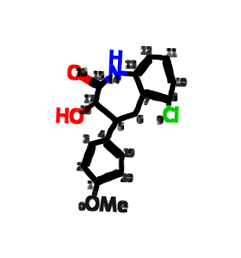 COc1ccc(C2Cc3c(Cl)cccc3NC(=O)[C@@H]2O)cc1